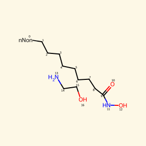 CCCCCCCCCCCCCCCCCC(=O)NO.NCCO